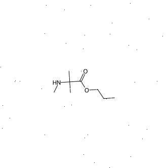 CCCOC(=O)C(C)(C)NC